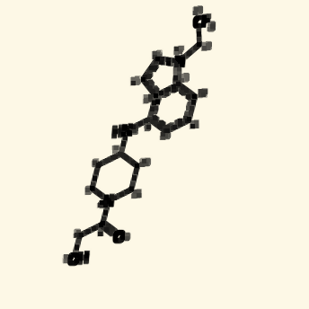 O=C(CO)N1CCC(Nc2cccc3c2ccn3CC(F)(F)F)CC1